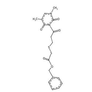 Cc1cn(C)c(=O)n(C(=O)CCSSC(=O)OCc2ccccc2)c1=O